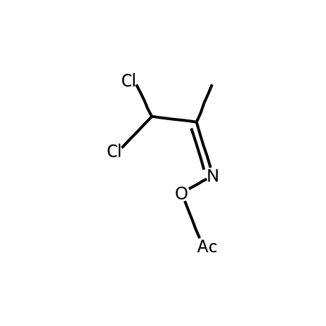 CC(=O)ON=C(C)C(Cl)Cl